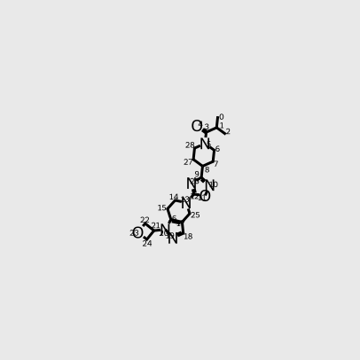 CC(C)C(=O)N1CCC(c2noc(N3CCc4c(cnn4C4COC4)C3)n2)CC1